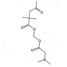 CC(=O)CC(C)(C)C(=O)OCOC(=O)CN(C)C